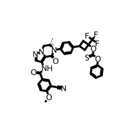 COc1ccc(C(=O)Nc2cnn3c2C(=O)N(c2ccc(C4CC(OC(=S)Oc5ccccc5)(C(F)(F)F)C4)cc2)[C@@H](C)C3)cc1C#N